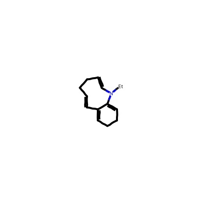 CCN1/C=C/CC/C=C/C2=CCCC=C21